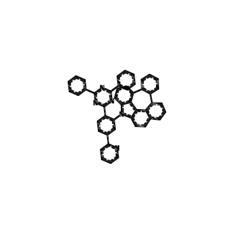 c1ccc(-c2nc(-c3ccccc3)nc(-c3ccc(-c4ccccn4)cc3-n3c4cccc5c4c4c6c(cccc6ccc43)-c3ccccc3-5)n2)cc1